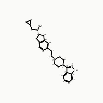 CC(=O)N(CC1CC1)[C@H]1Cc2ccc(CCN3CCN(c4nsc5ccccc45)CC3)cc2C1